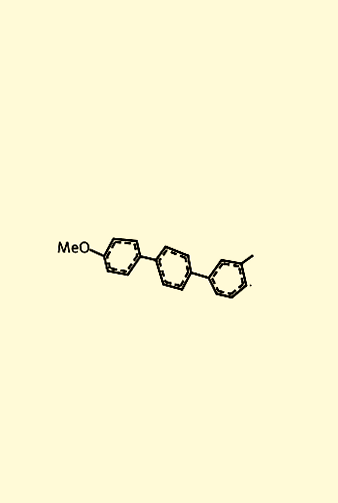 COc1ccc(-c2ccc(-c3cc[c]c(C)c3)cc2)cc1